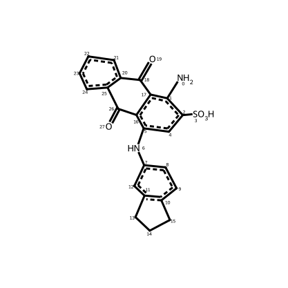 Nc1c(S(=O)(=O)O)cc(Nc2ccc3c(c2)CCC3)c2c1C(=O)c1ccccc1C2=O